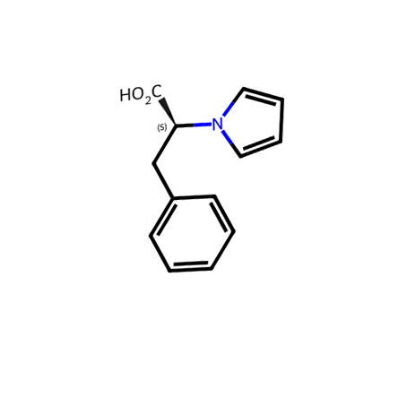 O=C(O)[C@H](Cc1ccccc1)n1cccc1